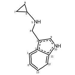 C1=C=c2c(CNC3CC3)c[nH]c2=CC=1